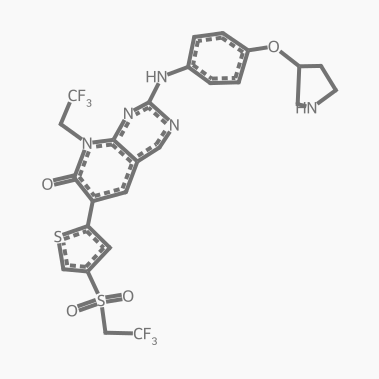 O=c1c(-c2cc(S(=O)(=O)CC(F)(F)F)cs2)cc2cnc(Nc3ccc(OC4CCNC4)cc3)nc2n1CC(F)(F)F